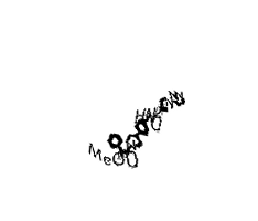 CO[C@@H](C(=O)N1CCC(c2ccc(NC(=O)[C@H]3CCN(c4cccnn4)C3)cc2)CC1)c1ccccc1